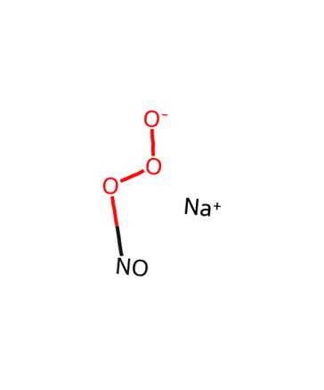 O=NOO[O-].[Na+]